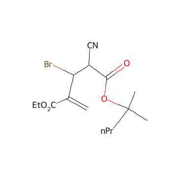 C=C(C(=O)OCC)C(Br)C(C#N)C(=O)OC(C)(C)CCC